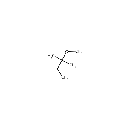 CCC(C)(C)OC